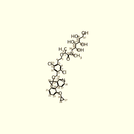 CC(OCCc1cc(Cl)c(COC2(c3cnccc3-c3ccccc3OC3CC3)CC2)cc1Cl)C(=O)N(C)C[C@H](O)[C@@H](O)[C@H](O)[C@H](O)CO